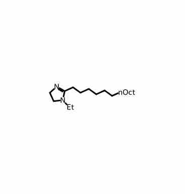 CCCCCCCCCCCCCCC1=NCCN1CC